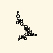 COc1cc(C(=O)NCCF)ccc1Nc1nc2ccc(-c3ccc(C(=O)NCc4ccc(F)cc4)cc3)cn2n1